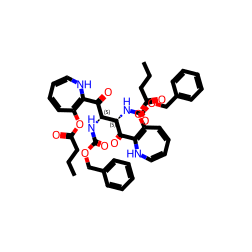 CCCC(=O)OC1=C(C(=O)[C@@H](NC(=O)OCc2ccccc2)[C@H](NC(=O)OCc2ccccc2)C(=O)C2=C(OC(=O)CCC)C=CC=CN2)NC=CC=C1